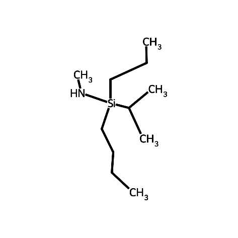 CCCC[Si](CCC)(NC)C(C)C